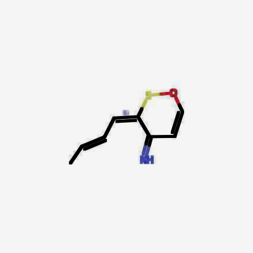 CC=C/C=C1/SOC=CC1=N